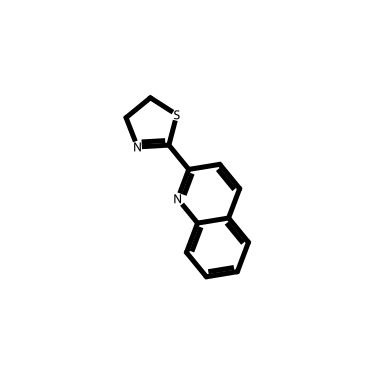 c1ccc2nc(C3=NCCS3)ccc2c1